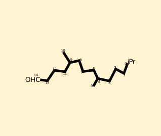 CC(C)CCCC(C)CCCC(C)CCCC=O